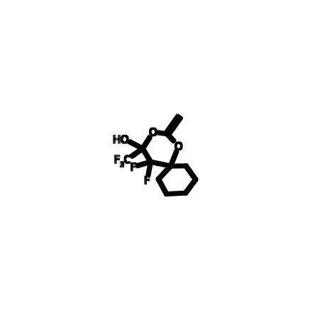 C=C1OC2(CCCCC2)C(F)(F)C(O)(C(F)(F)F)O1